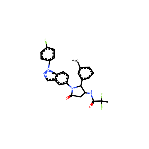 COc1cccc(C2C(NC(=O)C(C)(F)F)CC(=O)N2c2ccc3c(cnn3-c3ccc(F)cc3)c2)c1